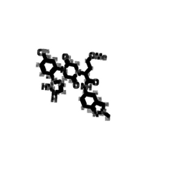 COCCC(C(=O)Nc1ccc2nn(C)cc2c1)N1CC(=O)N(c2cc(Cl)ccc2N2N=CNN2)CC1=O